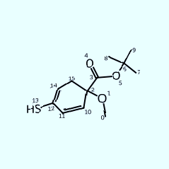 COC1(C(=O)OC(C)(C)C)C=CC(S)=CC1